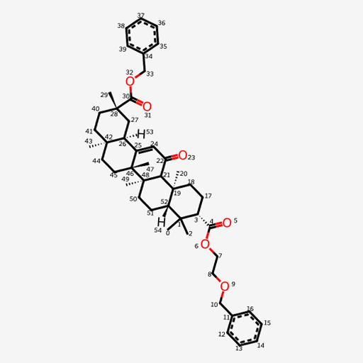 CC1(C)[C@@H](C(=O)OCCOCc2ccccc2)CC[C@]2(C)C3C(=O)C=C4[C@@H]5C[C@@](C)(C(=O)OCc6ccccc6)CC[C@]5(C)CC[C@@]4(C)[C@]3(C)CC[C@@H]12